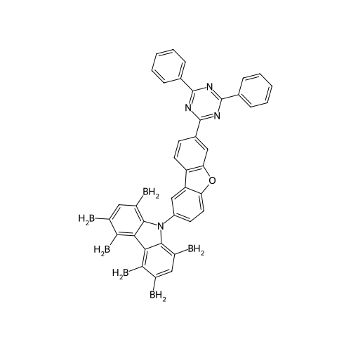 Bc1cc(B)c2c(c1B)c1c(B)c(B)cc(B)c1n2-c1ccc2oc3cc(-c4nc(-c5ccccc5)nc(-c5ccccc5)n4)ccc3c2c1